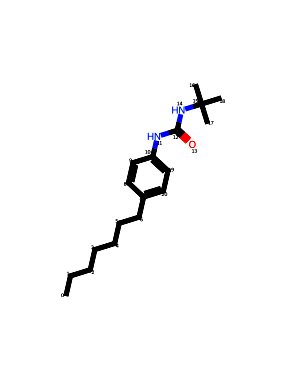 CCCCCCCc1ccc(NC(=O)NC(C)(C)C)cc1